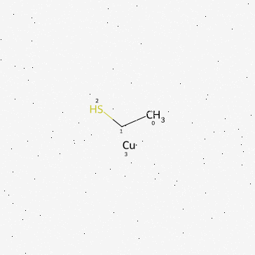 CCS.[Cu]